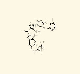 Cc1cc2cc(C(=O)c3cnn(-c4cnc(Oc5c(F)cccc5F)cc4C)c3N)[nH]c2cc1N1C(=O)N[C@@H](C)C1=O